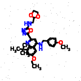 CCOc1cc(C(C)(C)C)c2nc(-c3nnc(NCC4OCCO4)o3)cc(NCc3ccc(OC)cc3)c2c1